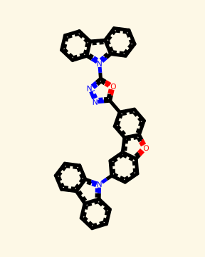 c1ccc2c(c1)c1ccccc1n2-c1ccc2oc3ccc(-c4nnc(-n5c6ccccc6c6ccccc65)o4)cc3c2c1